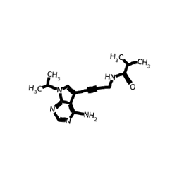 CC(C)C(=O)NCC#Cc1cn(C(C)C)c2ncnc(N)c12